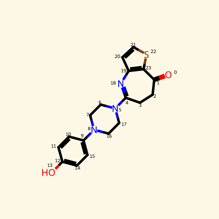 O=C1CCC(N2CCN(c3ccc(O)cc3)CC2)=Nc2ccsc21